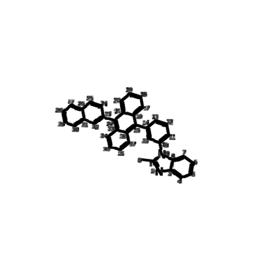 Cc1nc2ccccc2n1-c1cccc(-c2c3ccccc3c(-c3ccc4ccccc4c3)c3ccccc23)c1